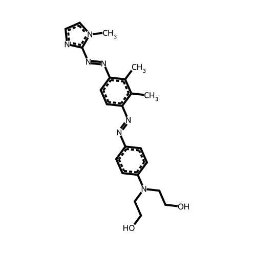 Cc1c(/N=N/c2ccc(N(CCO)CCO)cc2)ccc(/N=N/c2nccn2C)c1C